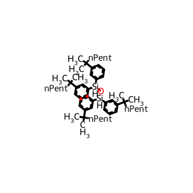 CCCCCC(C)(C)c1cccc([SiH](O[SiH](c2cccc(C(C)(C)CCCCC)c2)c2cccc(C(C)(C)CCCCC)c2)c2cccc(C(C)(C)CCCCC)c2)c1